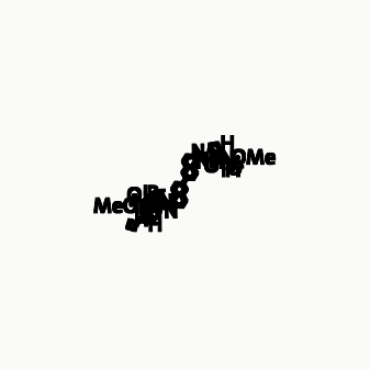 COC(=O)N[C@H](C(=O)N1CCC[C@H]1c1nc2ccc3cc(-c4ccc5c(ccc6nc([C@@H]7C[C@@H]8CC(C9CCC9)C[C@@H]8N7C(=O)[C@@H](NC(=O)OC)C(C)C)[nH]c65)c4)ccc3c2[nH]1)C(C)C